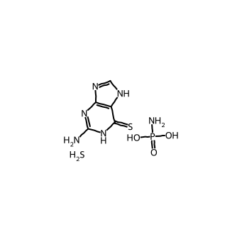 NP(=O)(O)O.Nc1nc2nc[nH]c2c(=S)[nH]1.S